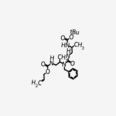 C=CCOC(=O)NCC(C)N(Cc1ccccc1)C(=O)NCC(C)NC(=O)OC(C)(C)C